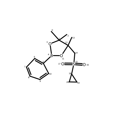 CC1(C)OB(c2ccccc2)OC1(C)CS(=O)(=O)C1CC1